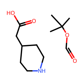 CC(C)(C)OC=O.O=C(O)CC1CCNCC1